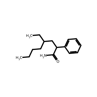 CCCCC(CC)CC(C(N)=O)c1ccccc1